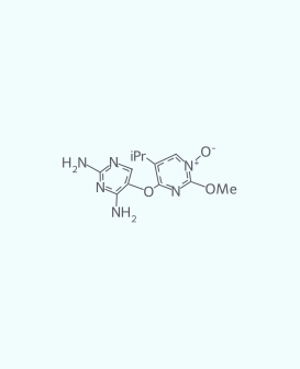 COc1nc(Oc2cnc(N)nc2N)c(C(C)C)c[n+]1[O-]